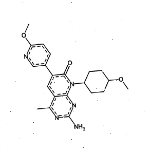 COc1ccc(-c2cc3c(C)nc(N)nc3n(C3CCC(OC)CC3)c2=O)cn1